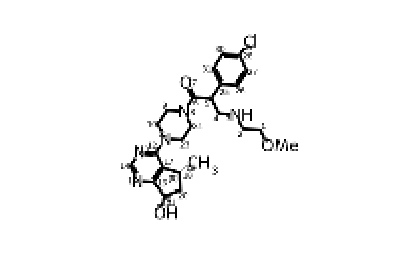 COCCNCC(C(=O)N1CCN(c2ncnc3c2[C@H](C)C[C@H]3O)CC1)c1ccc(Cl)cc1